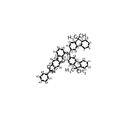 CC1(C)c2ccccc2-c2cc(N(c3ccc4c(c3)-c3ccccc3C4(C)C)c3cccc4c3oc3cc5nc(-c6ccccc6)oc5cc34)ccc21